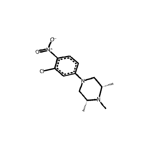 C[C@@H]1CN(c2ccc([N+](=O)[O-])c(Cl)c2)C[C@H](C)N1C